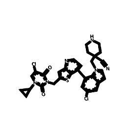 N#CC1(Cn2ccc3cc(Cl)cc(-c4ccnc5cc(Cn6c(=O)c(Cl)cn(C7CC7)c6=O)sc45)c32)CCNCC1